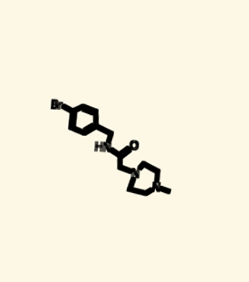 CN1CCN(CC(=O)NCc2ccc(Br)cc2)CC1